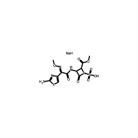 CO/N=C(/C(=O)NC1C(=O)N(S(=O)(=O)O)C1C(=O)OC)c1csc(N)n1.[NaH]